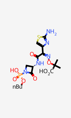 CCCCOP(=O)(O)N1C[C@H](NC(=O)C(=NOC(C)(C)C(=O)O)c2csc(N)n2)C1=O